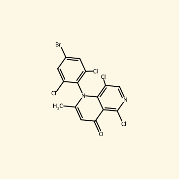 Cc1cc(=O)c2c(Cl)ncc(Cl)c2n1-c1c(Cl)cc(Br)cc1Cl